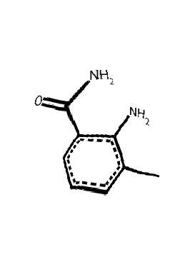 Cc1cccc(C(N)=O)c1N